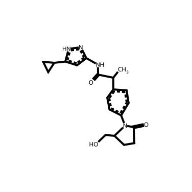 CC(C(=O)Nc1cc(C2CC2)[nH]n1)c1ccc(N2C(=O)CCC2CO)cc1